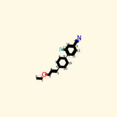 CCOCC=C[C@H]1CC[C@H](c2ccc(C#N)cc2F)CC1